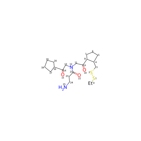 CCSSCC1CCCC1C(=O)CN(CC(=O)C1CCCC1)C(=O)CCN